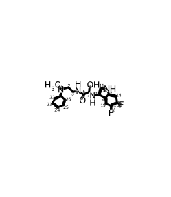 CN(CCNC(=O)C(O)Nc1c[nH]c2cc(F)c(F)cc12)c1ccccc1